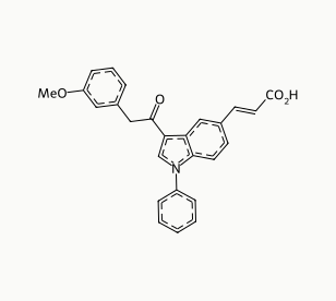 COc1cccc(CC(=O)c2cn(-c3ccccc3)c3ccc(C=CC(=O)O)cc23)c1